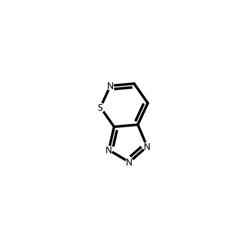 c1cc2nnnc-2sn1